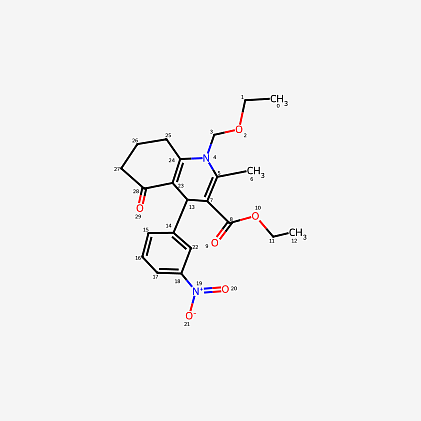 CCOCN1C(C)=C(C(=O)OCC)C(c2cccc([N+](=O)[O-])c2)C2=C1CCCC2=O